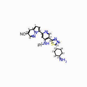 CC(C)Nc1cc(-c2ccc3cc(C#N)cnn23)ncc1-c1nnc([C@H]2CC[C@H](N)CC2)s1